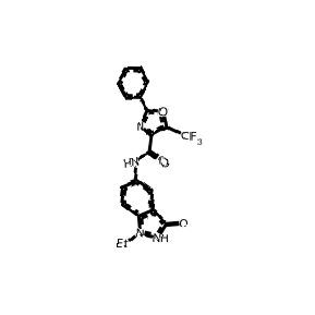 CCn1[nH]c(=O)c2cc(NC(=O)c3nc(-c4ccccc4)oc3C(F)(F)F)ccc21